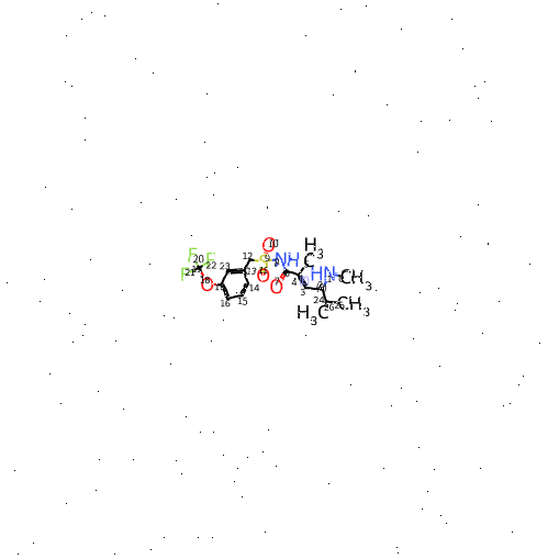 CN[C@H](/C=C(\C)C(=O)NS(=O)(=O)Cc1cccc(OC(F)(F)F)c1)C(C)C